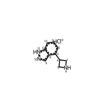 Cl.c1cc(C2CNC2)c2cn[nH]c2c1